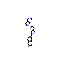 O[C@H]1[C@H](n2ccc3c(Cl)ncnc32)C[C@@]2(CNC(c3ccc4cc(Br)c(Cl)nc4c3)C2)[C@H]1O